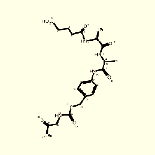 CC(C)C(NC(=O)CCCC(=O)O)C(=O)N[C@@H](C)C(=O)Nc1ccc(COC(=O)NCC(=O)C(C)(C)C)cc1